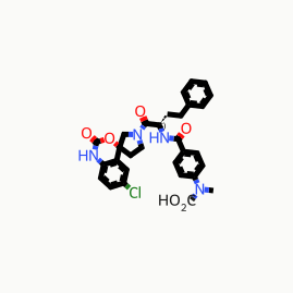 CN(C(=O)O)c1ccc(C(=O)N[C@@H](CCc2ccccc2)C(=O)N2CCC3(C2)OC(=O)Nc2ccc(Cl)cc23)cc1